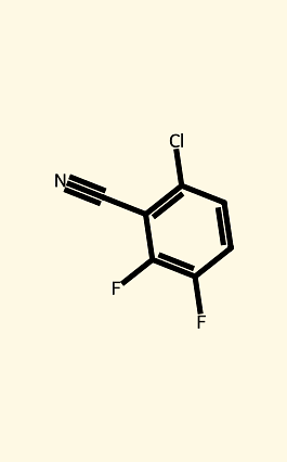 N#Cc1c(Cl)ccc(F)c1F